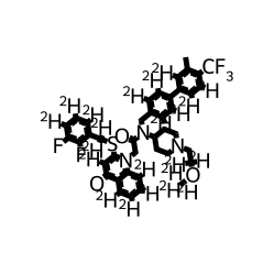 [2H]c1c([2H])c(F)c(F)c(C([2H])([2H])Sc2c([2H])c(=O)c3c([2H])c([2H])c([2H])c([2H])c3n2CC(=O)N(Cc2c([2H])c([2H])c(-c3c([2H])c([2H])c(C(F)(F)F)c(C)c3[2H])c([2H])c2[2H])C2CCN(CC([2H])([2H])OC([2H])([2H])[2H])CC2)c1[2H]